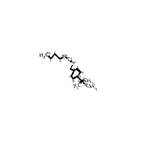 CCCCN=C=NCc1ccc(C(C)(C)C)cc1